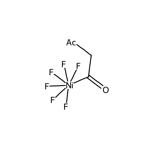 CC(=O)C[C](=O)[Ni]([F])([F])([F])([F])([F])[F]